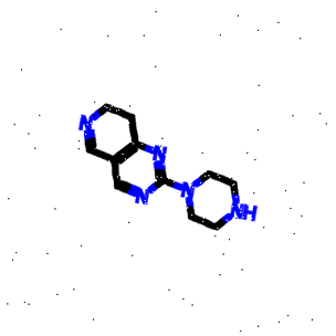 C1=NCCc2nc(N3CCNCC3)ncc21